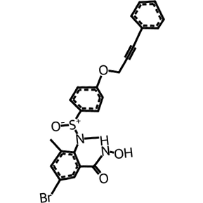 Cc1cc(Br)cc(C(=O)NO)c1N(C)[S+]([O-])c1ccc(OCC#Cc2ccccc2)cc1